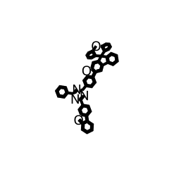 c1ccc(-c2nc(-c3ccc4c(c3)oc3ccccc34)nc(-c3ccc4c(c3)oc3cc5c(cc34)-c3ccccc3C53c4ccccc4Oc4ccccc43)n2)cc1